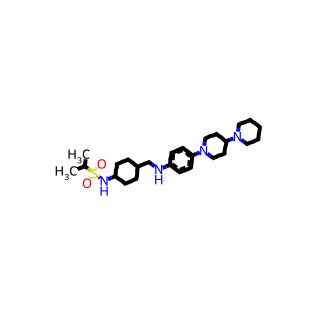 CC(C)S(=O)(=O)NC1CCC(CNc2ccc(N3CCC(N4CCCCC4)CC3)cc2)CC1